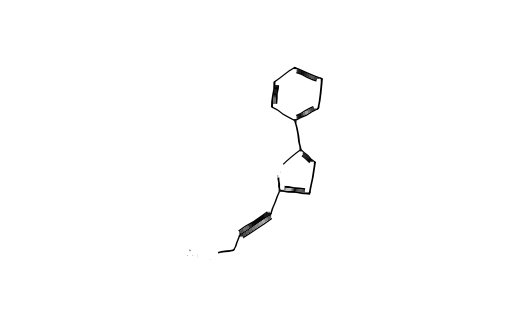 CC(=O)OCC#Cc1ccc(-c2ccccc2)s1